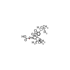 C[C@H]1C2=CN(C34CC(C(=O)O)(C3)C4)C(=O)NC2(c2ccc(CCC(C)(C)C)c(Cl)c2)COC1(C)C